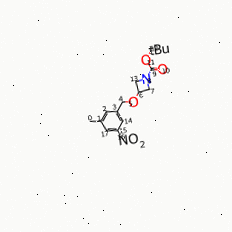 Cc1cc(COC2CN(C(=O)OC(C)(C)C)C2)cc([N+](=O)[O-])c1